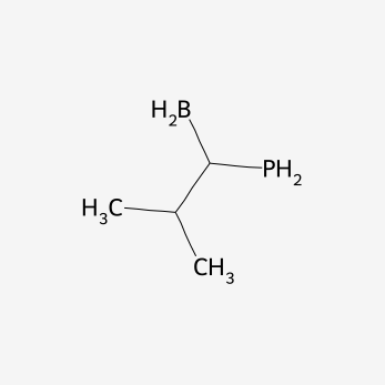 BC(P)C(C)C